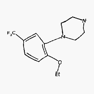 CCOc1ccc(C(F)(F)F)cc1N1CC[N]CC1